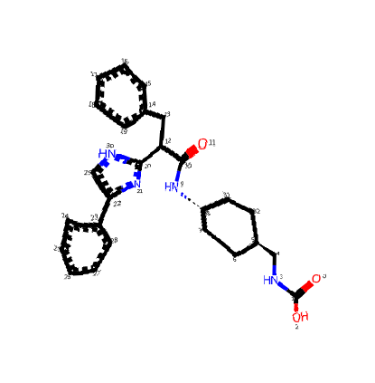 O=C(O)NC[C@H]1CC[C@H](NC(=O)C(Cc2ccccc2)c2nc(-c3ccccc3)c[nH]2)CC1